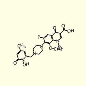 COc1c(N2CCN(Cc3cc(C)cc(=O)n3O)CC2)c(F)cc2c(=O)c(C(=O)O)cn(C3CC3)c12